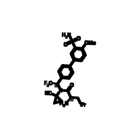 COc1ccc(-c2ccc([C@H](N(C(=O)[C@@H](N)CC(C)C)C3(C#N)CC3)C(F)(F)F)cc2)cc1S(N)(=O)=O